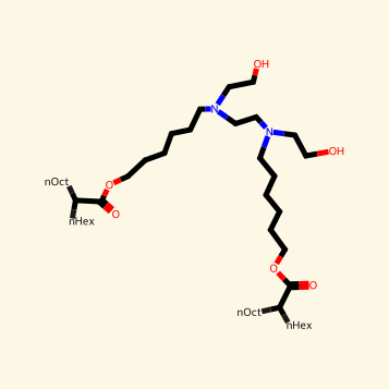 CCCCCCCCC(CCCCCC)C(=O)OCCCCCCN(CCO)CCN(CCO)CCCCCCOC(=O)C(CCCCCC)CCCCCCCC